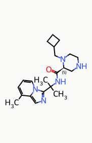 Cc1cccn2c(C(C)(C)NC(=O)[C@@H]3CNCCN3CC3CCC3)ncc12